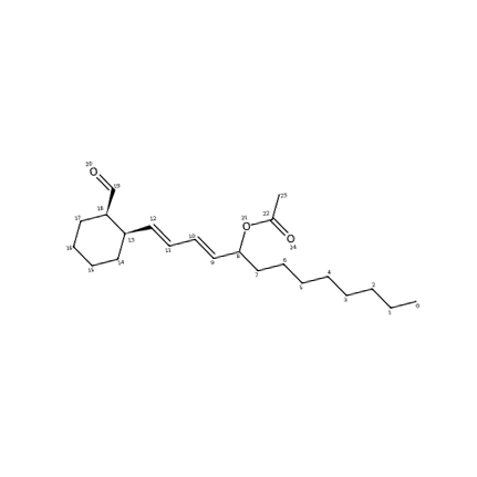 CCCCCCCCC(/C=C/C=C/[C@H]1CCCC[C@H]1C=O)OC(C)=O